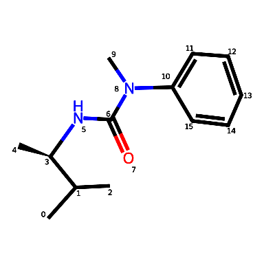 CC(C)[C@@H](C)NC(=O)N(C)c1ccccc1